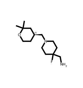 CC1(C)C[C@@H](CN2CCC(F)(CN)CC2)CCO1